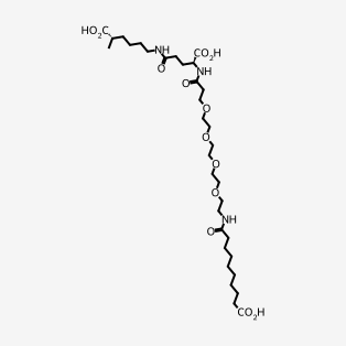 C[C@@H](CCCCNC(=O)CC[C@H](NC(=O)CCOCCOCCOCCOCCNC(=O)CCCCCCCCC(=O)O)C(=O)O)C(=O)O